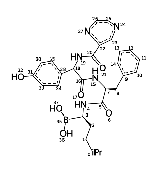 CC(C)CC[C@H](NC(=O)[C@H](Cc1ccccc1)NC(=O)C(NC(=O)c1cnccn1)c1ccc(O)cc1)B(O)O